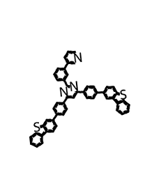 c1cncc(-c2cccc(-c3nc(-c4ccc(-c5ccc6c(c5)sc5ccccc56)cc4)cc(-c4ccc(-c5ccc6sc7ccccc7c6c5)cc4)n3)c2)c1